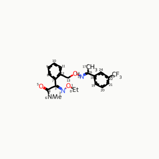 CCO/N=C(/C(=O)NC)c1ccccc1CO/N=C(\C)c1cccc(C(F)(F)F)c1